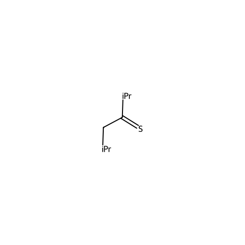 CC(C)CC(=S)C(C)C